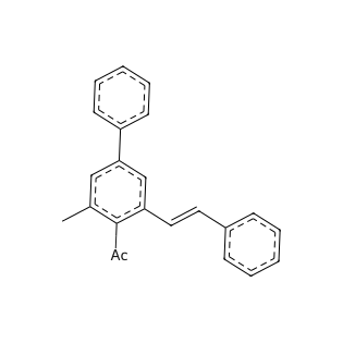 CC(=O)c1c(C)cc(-c2ccccc2)cc1/C=C/c1ccccc1